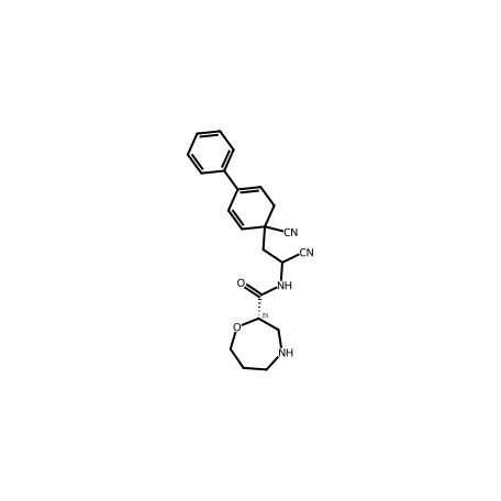 N#CC(CC1(C#N)C=CC(c2ccccc2)=CC1)NC(=O)[C@@H]1CNCCCO1